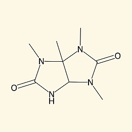 CN1C(=O)N(C)C2(C)C1NC(=O)N2C